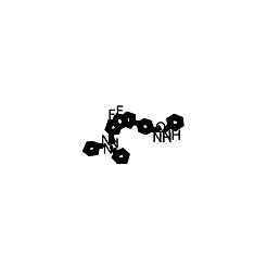 N=C(OC(=N)c1ccc(-c2ccc3c(c2)-c2cc(-c4nc(-c5ccccc5)nc(-c5ccccc5)n4)ccc2C3(F)F)cc1)c1ccccc1